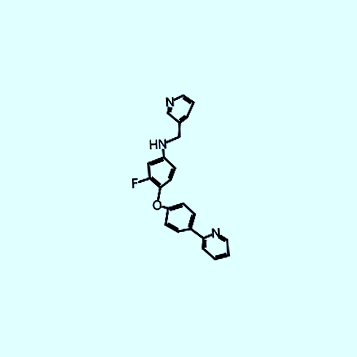 Fc1cc(NCc2cccnc2)ccc1Oc1ccc(-c2ccccn2)cc1